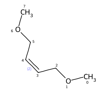 COC/C=C\COC